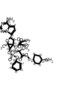 CC(C)C(=O)O[C@H]1[C@H](c2ccc3c(N)ncnn23)O[C@]2(C)C(O[P@@](=O)(N[C@@H](C)C(=O)OC[C@H]3CC[C@H](N)CC3)Oc3ccccc3)[C@]12OC(=O)C(C)C